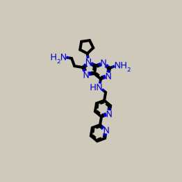 NCCc1nc2c(NCc3ccc(-c4ccccn4)nc3)nc(N)nc2n1C1CCCC1